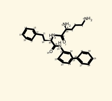 NCCC[C@H](N)C(=O)N[C@H](CCc1ccccc1)C(=O)Nc1cccc(-c2ccccc2)c1